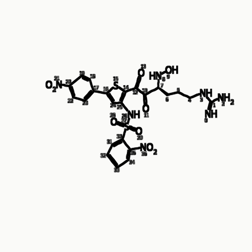 N=C(N)NCCC[C@H](NO)C(=O)C(=O)c1sc(-c2ccc([N+](=O)[O-])cc2)cc1NS(=O)(=O)c1ccccc1[N+](=O)[O-]